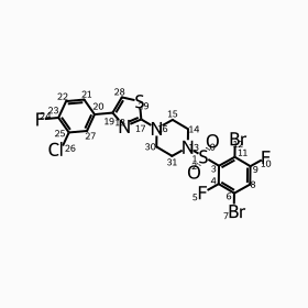 O=S(=O)(c1c(F)c(Br)cc(F)c1Br)N1CCN(c2nc(-c3ccc(F)c(Cl)c3)cs2)CC1